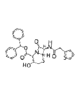 O=C(Cc1cccs1)N[C@@H]1C(=O)N2C(C(=O)OC(c3ccccc3)c3ccccc3)=C(O)CS[C@H]12